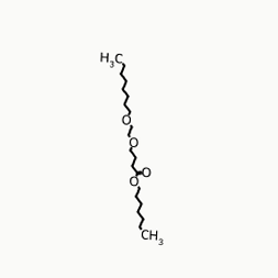 CCCCCCCCOCCOCCCC(=O)OCCCCCCC